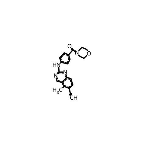 C#Cc1ccc2nc(Nc3ccc(C(=O)N4CCOCC4)cc3)ncc2c1C